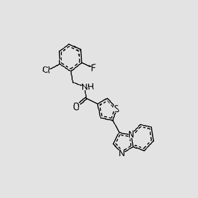 O=C(NCc1c(F)cccc1Cl)c1csc(-c2cnc3ccccn23)c1